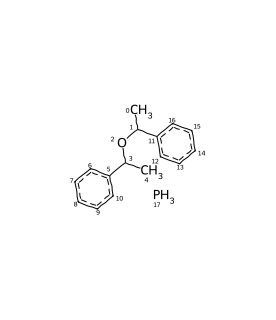 CC(OC(C)c1ccccc1)c1ccccc1.P